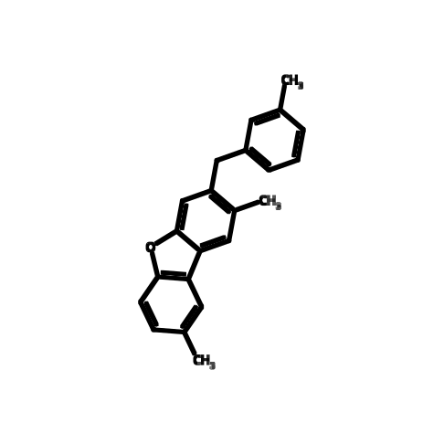 Cc1cccc(Cc2cc3oc4ccc(C)cc4c3cc2C)c1